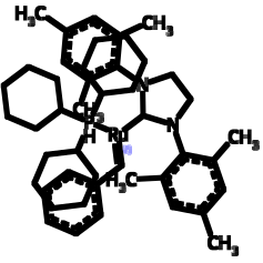 Cc1cc(C)c(N2CCN(c3c(C)cc(C)cc3C)[CH]2/[Ru](=[CH]/c2ccccc2)[PH](C2CCCCC2)(C2CCCCC2)C2CCCCC2)c(C)c1